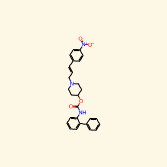 O=C(Nc1ccccc1-c1ccccc1)OC1CCN(C/C=C/c2ccc([N+](=O)[O-])cc2)CC1